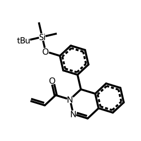 C=CC(=O)N1N=Cc2ccccc2C1c1cccc(O[Si](C)(C)C(C)(C)C)c1